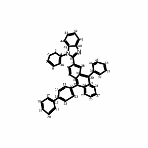 C1=CCCC(n2c(-c3ccc4c(-c5ccc(-c6ccccc6)cc5)c5ccccc5c(-c5ccccc5)c4c3)nc3ccccc32)=C1